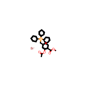 COC(=O)c1ccc(C[P+](c2ccccc2)(c2ccccc2)c2ccccc2)cc1OC(C)=O.[Br-]